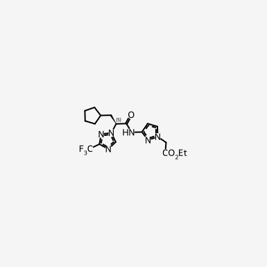 CCOC(=O)Cn1ccc(NC(=O)[C@H](CC2CCCC2)n2cnc(C(F)(F)F)n2)n1